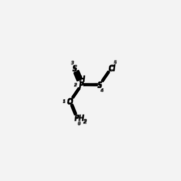 PO[PH](=S)SCl